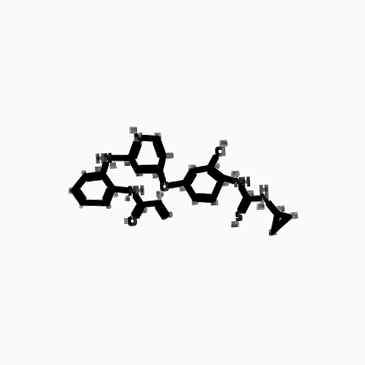 C=CC(=O)Nc1ccccc1Nc1cc(Oc2ccc(NC(=S)NC3CC3)c(Cl)c2)ccn1